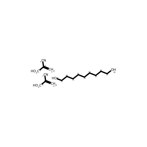 C=C(C#N)C(=O)O.C=C(C#N)C(=O)O.OCCCCCCCCCO